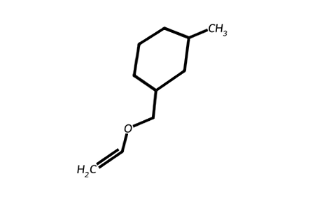 C=COCC1CCCC(C)C1